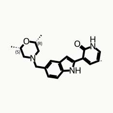 C[C@@H]1CN(Cc2ccc3[nH]c(-c4c[c]c[nH]c4=O)cc3c2)C[C@H](C)O1